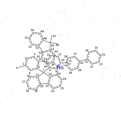 Cc1ccc2c(c1)C1(c3cc(C)ccc3-2)c2ccccc2-c2cccc(N(c3ccc(-c4ccccc4)cc3)c3ccc4c(c3)C(C)(C)c3ccccc3-4)c21